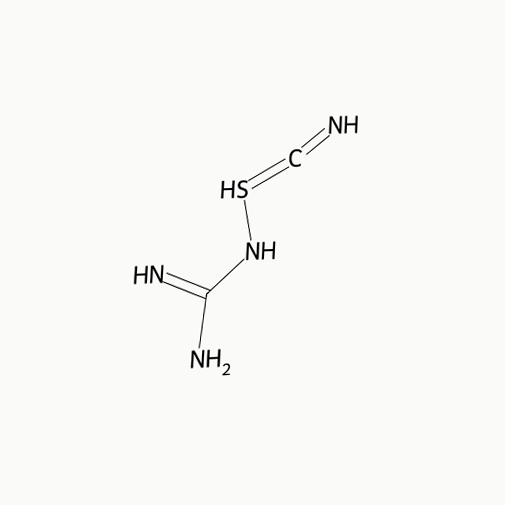 N=C=[SH]NC(=N)N